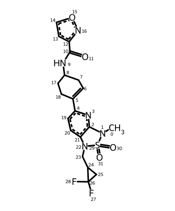 CN1c2nc(C3=CCC(NC(=O)c4ccon4)CC3)ccc2N(CC2CC2(F)F)S1(=O)=O